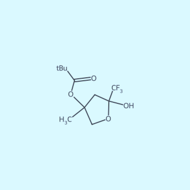 CC1(OC(=O)C(C)(C)C)COC(O)(C(F)(F)F)C1